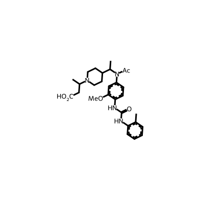 COc1cc(N(C(C)=O)C(C)C2CCN(C(C)CC(=O)O)CC2)ccc1NC(=O)Nc1ccccc1C